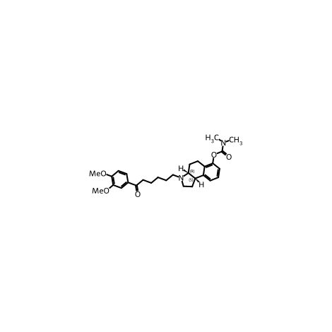 COc1ccc(C(=O)CCCCCN2CC[C@H]3c4cccc(OC(=O)N(C)C)c4CC[C@H]32)cc1OC